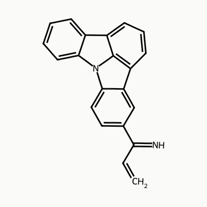 C=CC(=N)c1ccc2c(c1)c1cccc3c4ccccc4n2c31